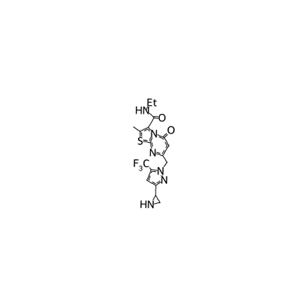 CCNC(=O)c1c(C)sc2nc(Cn3nc(C4CN4)cc3C(F)(F)F)cc(=O)n12